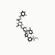 CS(=O)(=O)c1cccc(-c2ccc(/C(=C/C(=N)CN3CCN(C(=O)OCc4ccccc4)CC3=O)Nc3ccccc3Cl)s2)c1